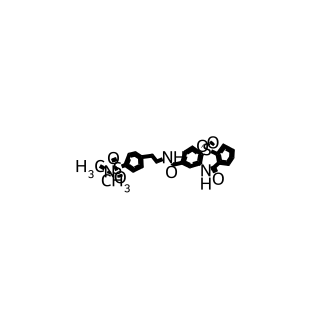 CN(C)S(=O)(=O)c1ccc(CCNC(=O)c2ccc3c(c2)NC(=O)c2ccccc2S3(=O)=O)cc1